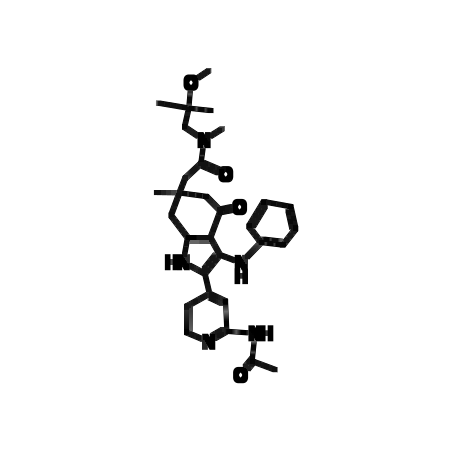 COC(C)(C)CN(C)C(=O)CC1(C)CC(=O)c2c([nH]c(-c3ccnc(NC(C)=O)c3)c2Nc2ccccc2)C1